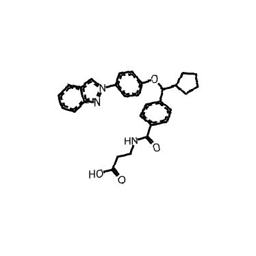 O=C(O)CCNC(=O)c1ccc(C(Oc2ccc(-n3cc4ccccc4n3)cc2)C2CCCC2)cc1